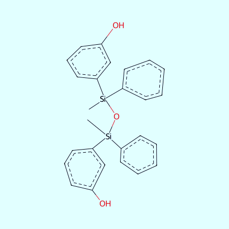 C[Si](O[Si](C)(c1ccccc1)c1cccc(O)c1)(c1ccccc1)c1cccc(O)c1